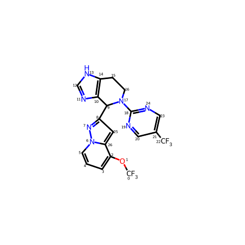 FC(F)(F)Oc1cccn2nc(C3c4nc[nH]c4CCN3c3ncc(C(F)(F)F)cn3)cc12